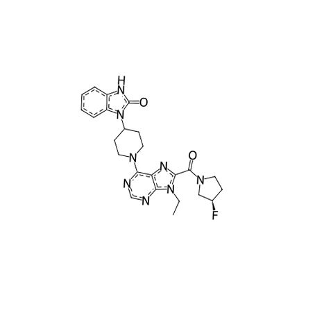 CCn1c(C(=O)N2CC[C@@H](F)C2)nc2c(N3CCC(n4c(=O)[nH]c5ccccc54)CC3)ncnc21